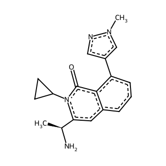 C[C@H](N)c1cc2cccc(-c3cnn(C)c3)c2c(=O)n1C1CC1